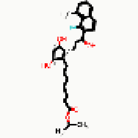 Cc1cccc2ccc(C(O)CC[C@@H]3C(CCCCCCC(=O)OC(C)C)[C@@H](O)C[C@H]3O)c(F)c12